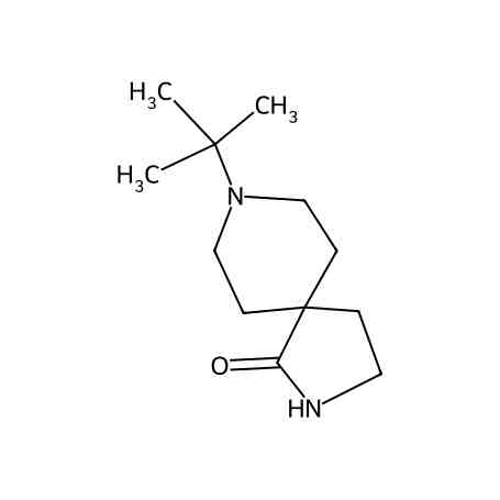 CC(C)(C)N1CCC2(CCNC2=O)CC1